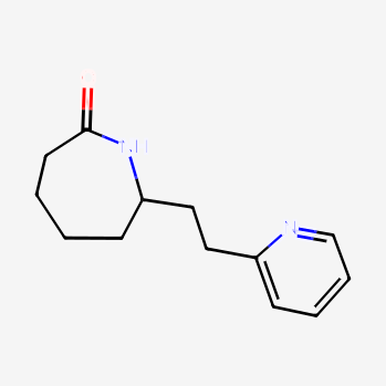 O=C1CCCCC(CCc2ccccn2)N1